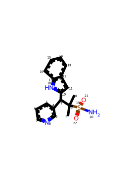 CC(C)(C(c1cccnc1)c1cc2ccccc2[nH]1)S(N)(=O)=O